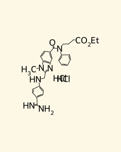 CCOC(=O)CCCN(C(=O)c1ccc2c(c1)nc(CNc1ccc(C(=N)N)cc1)n2C)c1ccccc1.Cl.Cl